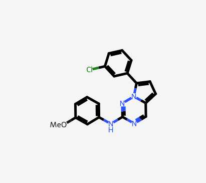 COc1cccc(Nc2ncc3ccc(-c4cccc(Cl)c4)n3n2)c1